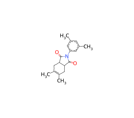 CC1=C(C)CC2C(=O)N(c3cc(C)cc(C)c3)C(=O)C2C1